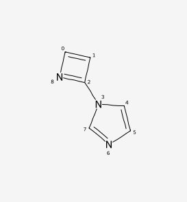 C1=CC(n2ccnc2)=N1